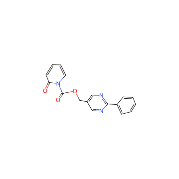 O=C(OCc1cnc(-c2ccccc2)nc1)n1ccccc1=O